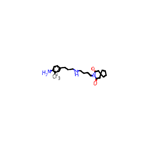 Nc1ccc(CCCNCCCCN2C(=O)CC3(CCCC3)CC2=O)cc1C(F)(F)F